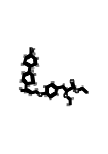 CCOC(=O)C(Cc1ccc(OCC=C(C)c2ccc(-c3ccc(Br)cc3)cc2)cc1)OCC